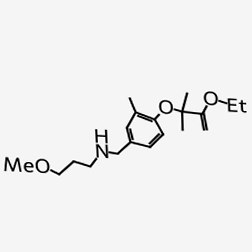 C=C(OCC)C(C)(C)Oc1ccc(CNCCCOC)cc1C